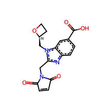 O=C(O)c1ccc2nc(CN3C(=O)C=CC3=O)n(C[C@@H]3CCO3)c2c1